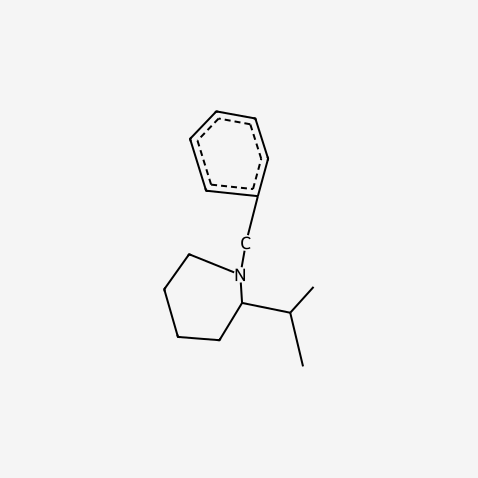 CC(C)C1CCCCN1Cc1ccccc1